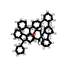 C=C1CC(CC)CC(C)C12c1ccccc1-c1ccc(-c3ccccc3-c3ccc(C(c4ccccc4)c4cccc5c4-c4ccccc4C5c4ccccc4)cc3)cc12